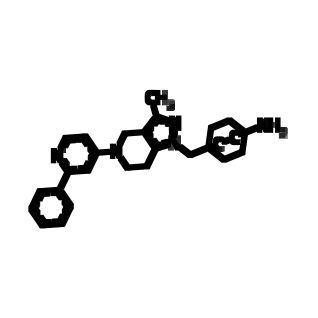 Cc1nn(CC23CCC(N)(CC2)CC3)c2c1CN(c1ccnc(-c3ccccc3)c1)CC2